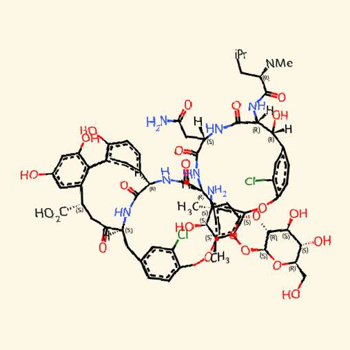 CN[C@H](CC(C)C)C(=O)N[C@H]1C(=O)N[C@@H](CC(N)=O)C(=O)N[C@H]2C(=O)N[C@H]3C(=O)N[C@@H](Cc4ccc(c(Cl)c4)Oc4cc2cc(c4O[C@@H]2O[C@H](CO)[C@@H](O)[C@H](O)[C@H]2O[C@H]2C[C@](C)(N)[C@H](O)[C@H](C)O2)Oc2ccc(cc2Cl)[C@H]1O)C(=O)C[C@H](C(=O)O)c1cc(O)cc(O)c1-c1cc3ccc1O